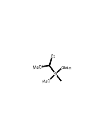 CCC(OC)[Si](C)(OC)OC